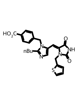 CCCCc1ncc(/C=C2/C(=O)NC(=O)N2Cc2cccs2)n1Cc1ccc(C(=O)O)cc1